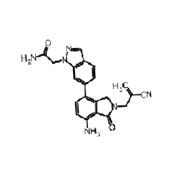 C=C(C#N)CN1Cc2c(-c3ccc4cnn(CC(N)=O)c4c3)ccc(N)c2C1=O